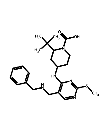 CSc1ncc(CNCc2ccccc2)c(NC2CCN(C(=O)O)C(C(C)(C)C)C2)n1